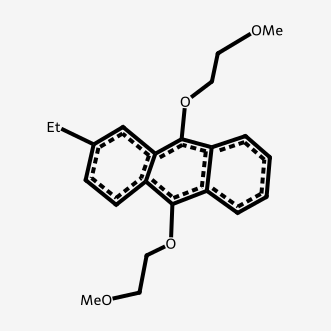 CCc1ccc2c(OCCOC)c3ccccc3c(OCCOC)c2c1